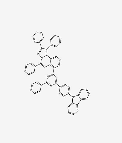 c1ccc(-c2nc(-c3ccc(-n4c5ccccc5c5ccccc54)cc3)cc(-c3cccc4c3cc(-c3ccccc3)n3nc(-c5ccccc5)c(-c5ccccc5)c43)n2)cc1